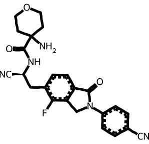 N#Cc1ccc(N2Cc3c(ccc(C[C@@H](C#N)NC(=O)C4(N)CCOCC4)c3F)C2=O)cc1